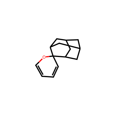 C1=COC2(C=C1)C1CC3CC(C1)CC2C3